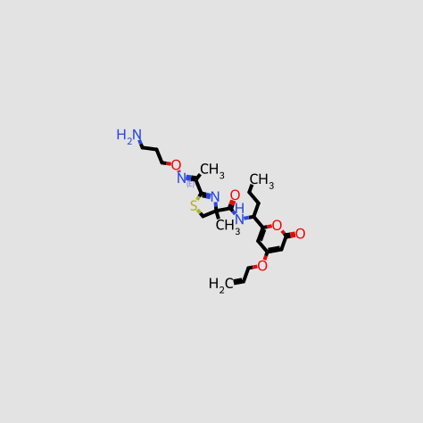 C=CCOc1cc(C(CCC)NC(=O)C2(C)CSC(/C(C)=N/OCCCN)=N2)oc(=O)c1